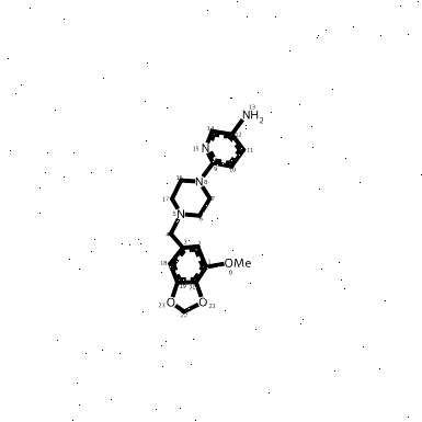 COc1cc(CN2CCN(c3ccc(N)cn3)CC2)cc2c1OCO2